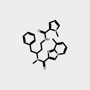 Cc1cccn2cc(C(=O)N(C)C(CCNC(=O)c3cccn3C)Cc3ccccc3)nc12